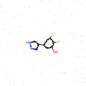 Oc1cc(-c2cn[nH]c2)cc(F)c1F